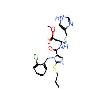 CCCSc1ncc(C(=O)N[C@@H](Cc2c[nH]cn2)C(=O)OC)n1Cc1ccccc1Cl